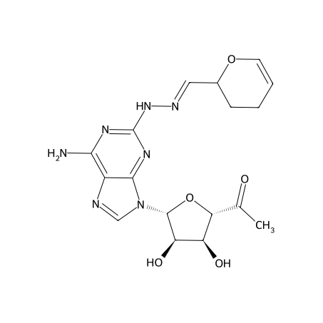 CC(=O)[C@H]1O[C@@H](n2cnc3c(N)nc(N/N=C/C4CCC=CO4)nc32)[C@H](O)[C@@H]1O